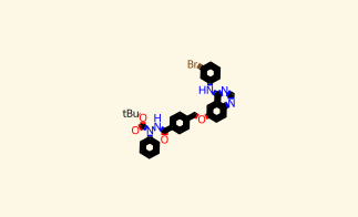 CC(C)(C)OC(=O)N(NC(=O)c1ccc(COc2ccc3ncnc(Nc4cccc(Br)c4)c3c2)cc1)c1ccccc1